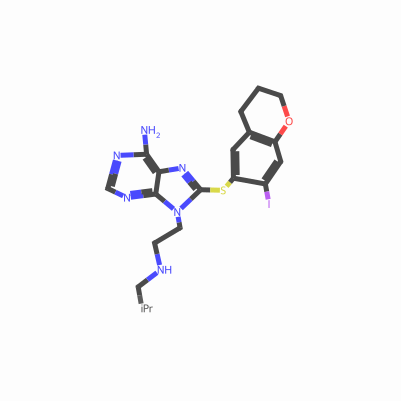 CC(C)CNCCn1c(Sc2cc3c(cc2I)OCCC3)nc2c(N)ncnc21